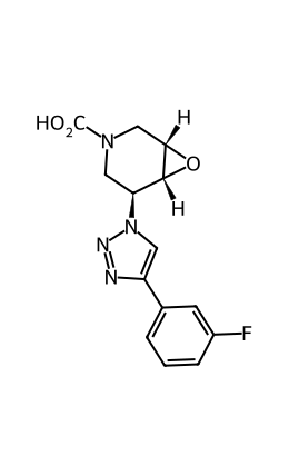 O=C(O)N1C[C@@H]2O[C@@H]2[C@@H](n2cc(-c3cccc(F)c3)nn2)C1